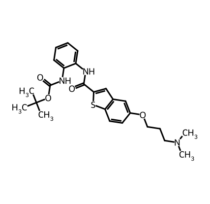 CN(C)CCCOc1ccc2sc(C(=O)Nc3ccccc3NC(=O)OC(C)(C)C)cc2c1